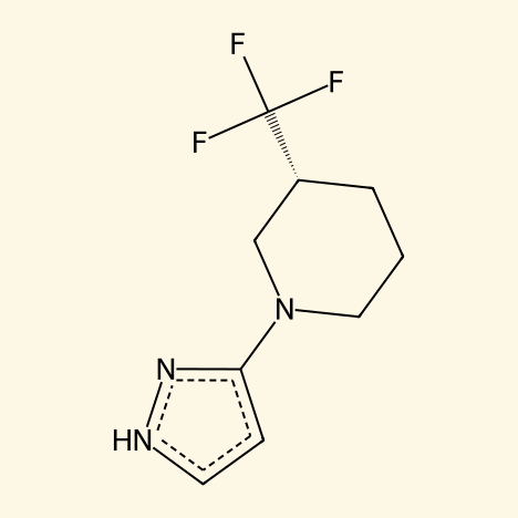 FC(F)(F)[C@@H]1CCCN(c2cc[nH]n2)C1